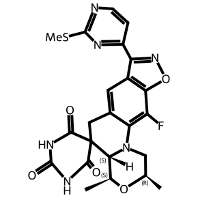 CSc1nccc(-c2noc3c(F)c4c(cc23)CC2(C(=O)NC(=O)NC2=O)[C@H]2[C@H](C)O[C@H](C)CN42)n1